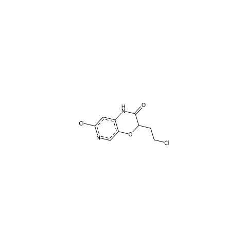 O=C1Nc2cc(Cl)ncc2OC1CCCl